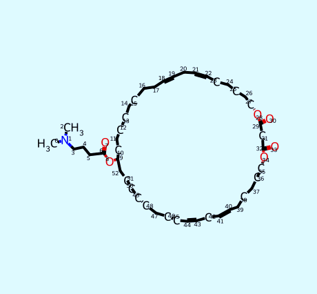 CN(C)CCCC(=O)OC1CCCCCCCC/C=C\C/C=C\CCCCCOC(=O)CC(=O)OCCCCC/C=C\C/C=C\CCCCCCCC1